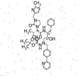 Cc1nc(CN2CCN([C@H](C(=O)N[C@@H](Cc3ccccc3)[C@@H](O)CN(Cc3ccc(-c4ccccn4)cc3)NC(=O)OC(C)(C)C)C(C)C)C2=O)cs1